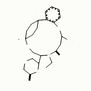 C[C@H]1CC(=O)N2CC[C@]3(COCC(=O)N3)[C@H]2CO[C@H]2CC[C@H](CC2)c2ccccc2O1